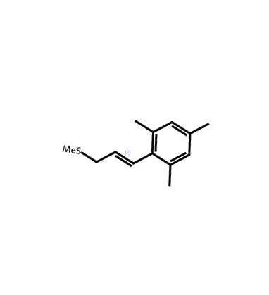 CSC/C=C/c1c(C)cc(C)cc1C